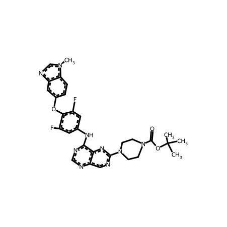 Cn1cnc2cc(Oc3c(F)cc(Nc4ncnc5cnc(N6CCN(C(=O)OC(C)(C)C)CC6)nc45)cc3F)ccc21